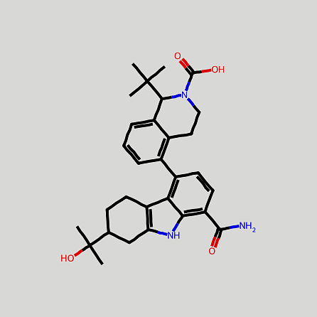 CC(C)(C)C1c2cccc(-c3ccc(C(N)=O)c4[nH]c5c(c34)CCC(C(C)(C)O)C5)c2CCN1C(=O)O